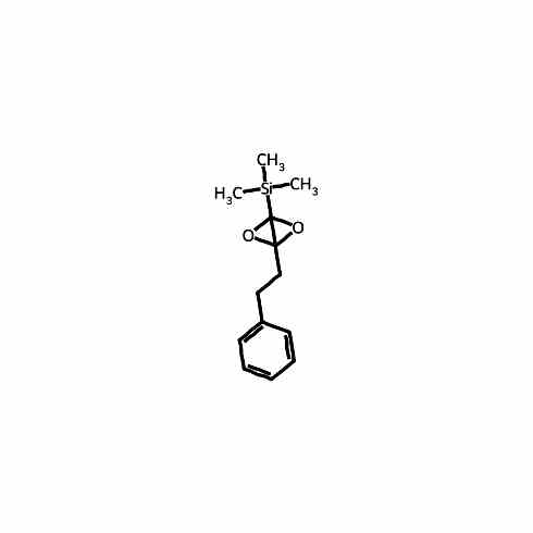 C[Si](C)(C)C12OC1(CCc1ccccc1)O2